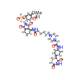 CCOc1cc([C@@H](CS(C)(=O)=O)N2C(=O)c3cccc(NC(=O)CCCCCN4CCN(CC(=O)Nc5ccc(C6CCC(=O)NC6=O)cc5)CC4)c3C2=O)ccc1OC